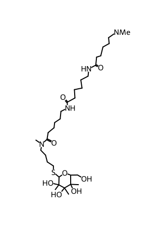 CNCCCCCC(=O)NCCCCCC(=O)NCCCCCC(=O)N(C)CCCCSC1OC(CO)C(C)(O)C(C)(O)C1(C)O